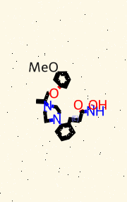 C=C(COc1cccc(OC)c1)N1CCN(c2ccccc2/C=C/C(=O)NO)CC1